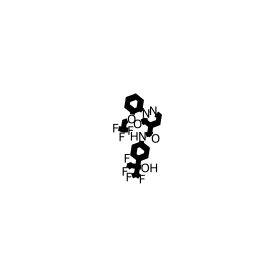 O=C(Nc1ccc(C(O)(C(F)F)C(F)F)cc1)c1ccnn(-c2ccccc2OCC(F)(F)F)c1=O